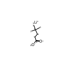 CC(C)(C)CCC(=O)[O-].[Li+]